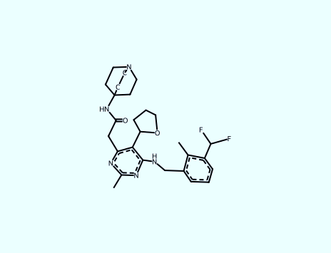 Cc1nc(CC(=O)NC23CCN(CC2)CC3)c(C2CCCO2)c(NCc2cccc(C(F)F)c2C)n1